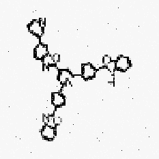 c1cncc(-c2ccc3nc(-c4cc(-c5ccc(-c6nc7ccccc7o6)cc5)nc(-c5ccc(C6Nc7ccccc7O6)cc5)c4)oc3c2)c1